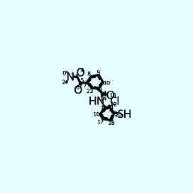 CN(C)C(=O)C(=O)c1cccc(C(=O)Nc2cccc(S)c2Cl)c1